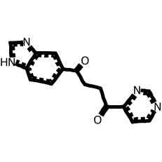 O=C(CCC(=O)c1ccncn1)c1ccc2[nH]cnc2c1